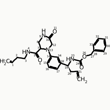 C=CCCNC(=O)C1CNC(=O)CN1c1cccc([C@H](CC=C)NC(=O)OCc2ccccc2)c1